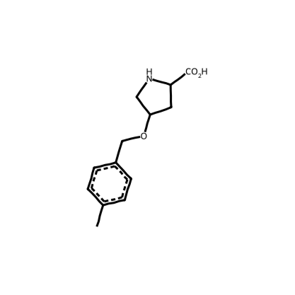 Cc1ccc(COC2CNC(C(=O)O)C2)cc1